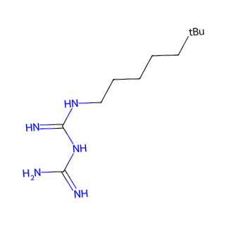 CC(C)(C)CCCCCNC(=N)NC(=N)N